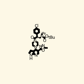 Cc1nnc(-c2cnc3[nH]ccc3c2N2CCN(C(=O)[C@H](CN(C(=O)OC(C)(C)C)C(C)C)c3ccc(Cl)cc3)CC2)o1